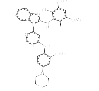 COc1cc(N2CCOCC2)ccc1Nc1cc(-n2c(Nc3c(Cl)c(OC)cc(OC)c3Cl)nc3ccccc32)ncn1